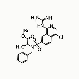 C[C@@H](C(=O)OC(C)(C)C)N(Cc1ccccc1)S(=O)(=O)c1ccc2c(Cl)cnc(NC(=N)N)c2c1